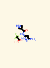 Nc1cc(NC(=O)C2CNC2)[nH]n1.O=C(O)C(F)(F)F